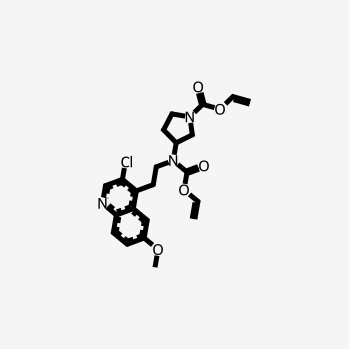 C=COC(=O)N1CCC(N(CCc2c(Cl)cnc3ccc(OC)cc23)C(=O)OC=C)C1